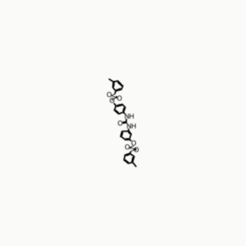 Cc1cccc(S(=O)(=O)Oc2ccc(NC(=O)Nc3cccc(OS(=O)(=O)c4cccc(C)c4)c3)cc2)c1